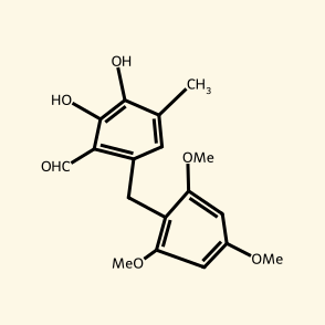 COc1cc(OC)c(Cc2cc(C)c(O)c(O)c2C=O)c(OC)c1